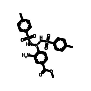 COC(=O)c1ccc(N(NS(=O)(=O)c2ccc(C)cc2)NS(=O)(=O)c2ccc(C)cc2)c(N)c1